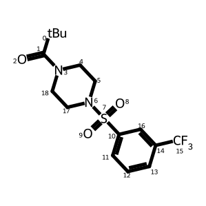 CC(C)(C)C(=O)N1CCN(S(=O)(=O)c2cccc(C(F)(F)F)c2)CC1